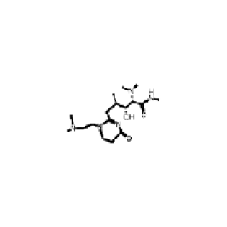 CNC(=O)[C@H]([C@H](O)[C@H](C)CC1=NC(=O)CCN1CCN(C)C)N(C)C